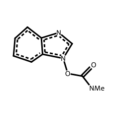 CNC(=O)On1cnc2ccccc21